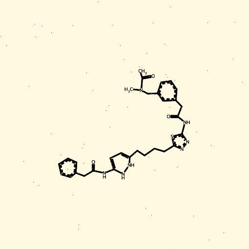 CC(=O)N(C)Cc1cccc(CC(=O)Nc2nnc(CCCCC3=CC=C(NC(=O)Cc4ccccc4)NN3)s2)c1